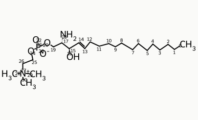 CCCCCCCCCCCCC/C=C/[C@@H](O)[C@@H](N)COP(=O)([O-])OCC[N+](C)(C)C